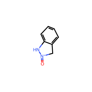 O=[N+]1Cc2ccccc2N1